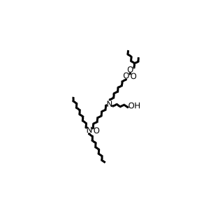 CCCCCCCCCCN(CCCCCCCCCC)C(=O)CCCCCCCN(CCCCCO)CCCCCCCCOC(=O)OCC(CC)CCCC